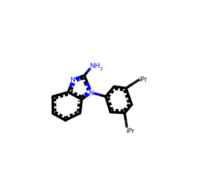 CC(C)c1cc(C(C)C)cc(-n2c(N)nc3ccccc32)c1